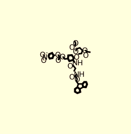 COC(=O)[C@@H]1C[C@H](OC(C)=O)C[C@H](Oc2ccc(COC(=O)Oc3ccc([N+](=O)[O-])cc3)cc2NC(=O)CCNC(=O)OCC2c3ccccc3-c3ccccc32)O1